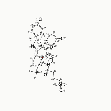 COCc1cc(C(C)(C)C)ccc1C1=N[C@@](C)(c2ccc(Cl)cc2)[C@@](C)(c2ccc(Cl)cc2)N1C(=O)N1CCN(C(=O)CCC[Si](C)(C)O)CC1